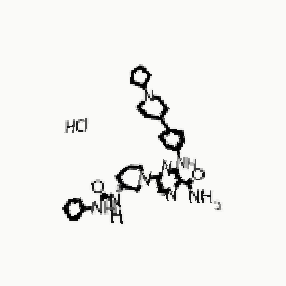 Cl.NC(=O)c1ncc(N2CCC[C@@H](NC(=O)Nc3ccccc3)C2)nc1Nc1ccc(C2CCN(C3CCCC3)CC2)cc1